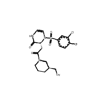 O=C1NC=CN(S(=O)(=O)c2ccc(Cl)c(Cl)c2)[C@@H]1CC(=O)N1CCC[C@H](CO)C1